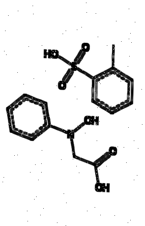 Cc1ccccc1S(=O)(=O)O.O=C(O)CN(O)c1ccccc1